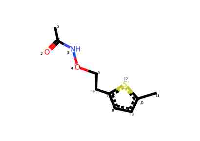 CC(=O)NOCCc1ccc(C)s1